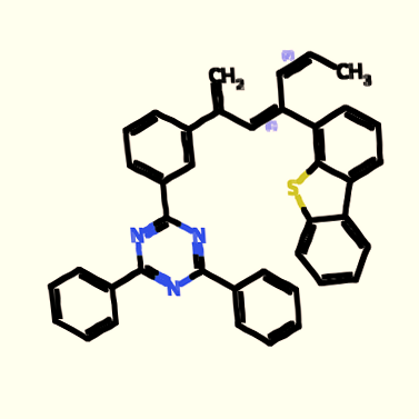 C=C(/C=C(\C=C/C)c1cccc2c1sc1ccccc12)c1cccc(-c2nc(-c3ccccc3)nc(-c3ccccc3)n2)c1